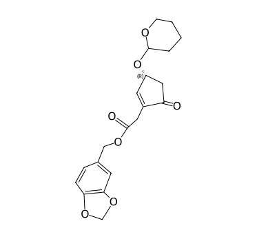 O=C(CC1=C[C@H](OC2CCCCO2)CC1=O)OCc1ccc2c(c1)OCO2